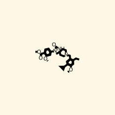 CCc1cc(OC)c(C2CC2)cc1CN1CCC2(CC1)CN(c1ccc(C(=O)OC)c(OC)c1)C(=O)N2